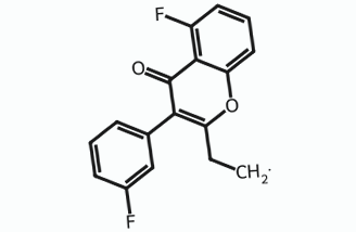 [CH2]Cc1oc2cccc(F)c2c(=O)c1-c1cccc(F)c1